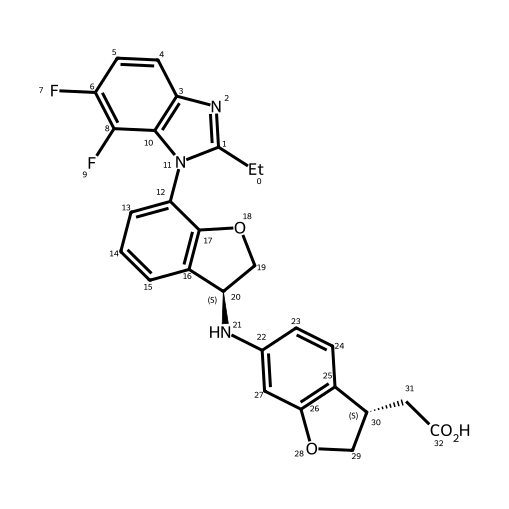 CCc1nc2ccc(F)c(F)c2n1-c1cccc2c1OC[C@H]2Nc1ccc2c(c1)OC[C@H]2CC(=O)O